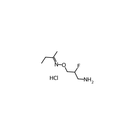 CCC(C)=NOCC(F)CN.Cl